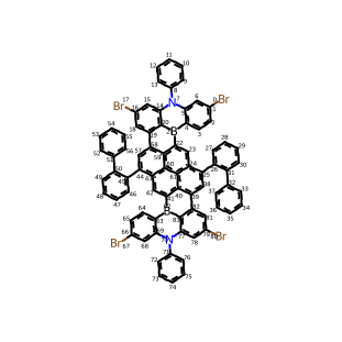 Brc1ccc2c(c1)N(c1ccccc1)c1cc(Br)cc3c1B2c1cc2c(-c4ccccc4-c4ccccc4)cc4c5c(cc6c(-c7ccccc7-c7ccccc7)cc-3c1c6c25)B1c2ccc(Br)cc2N(c2ccccc2)c2cc(Br)cc-4c21